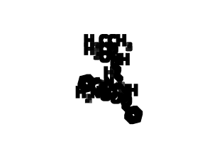 CC(C)(C)OC(=O)NCCCC[C@H](NC(=O)OCc1ccccc1)C(=O)N[C@@H](Cc1ccccc1)C(N)=O